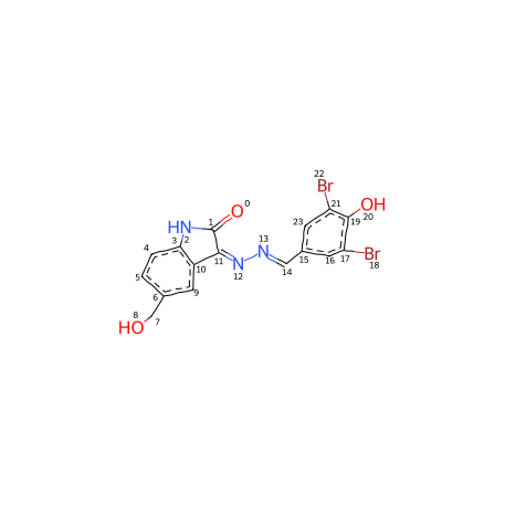 O=C1Nc2ccc(CO)cc2/C1=N/N=Cc1cc(Br)c(O)c(Br)c1